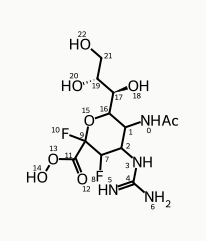 CC(=O)NC1C(NC(=N)N)C(F)C(F)(C(=O)OO)OC1[C@H](O)[C@H](O)CO